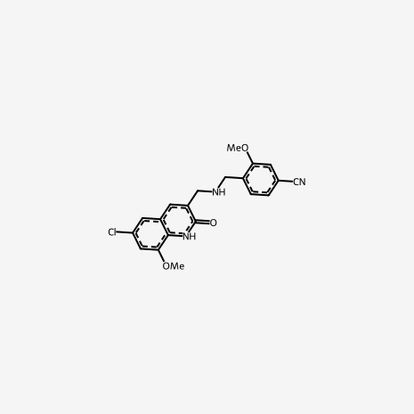 COc1cc(C#N)ccc1CNCc1cc2cc(Cl)cc(OC)c2[nH]c1=O